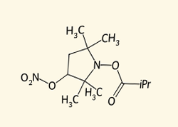 CC(C)C(=O)ON1C(C)(C)CC(O[N+](=O)[O-])C1(C)C